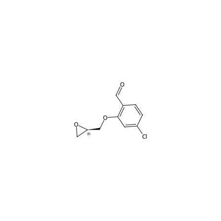 O=Cc1ccc(Cl)cc1OC[C@H]1CO1